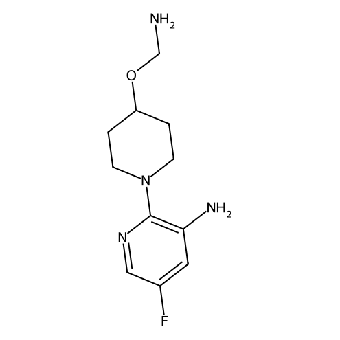 NCOC1CCN(c2ncc(F)cc2N)CC1